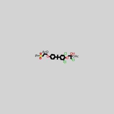 CC(=O)O[C@@H](COc1ccc(C(C)(C)c2cc(Cl)c(OC[C@](O)(CCl)OC(C)=O)c(Cl)c2)cc1)CS(=O)(=O)C(C)C